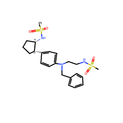 CC(C)S(=O)(=O)N[C@H]1CCC[C@H]1c1ccc(N(CCNS(C)(=O)=O)Cc2ccccc2)cc1